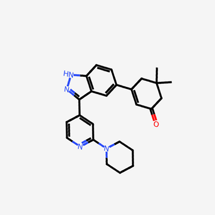 CC1(C)CC(=O)C=C(c2ccc3[nH]nc(-c4ccnc(N5CCCCC5)c4)c3c2)C1